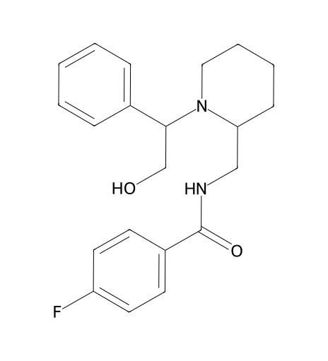 O=C(NCC1CCCCN1C(CO)c1ccccc1)c1ccc(F)cc1